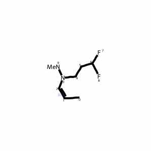 C/C=C\N(CCC(F)F)NC